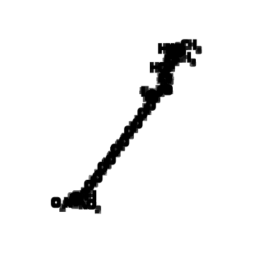 Cc1ccc2c(c1)NC[C@]21CCN(C[C@@H](O)C2CCN(C(=O)/C=C/c3cc(F)cc(OCCOCCOCCOCCOCCOCCOCCOCCOCCOCCNc4ccc([N+](=O)[O-])cc4[N+](=O)[O-])c3)CC2)C[C@H]1C